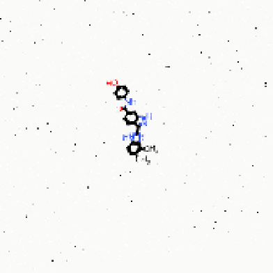 Cc1ccc2[nH]c(-c3n[nH]c4cc(C(=O)Nc5ccc(O)cc5)ccc34)nc2c1C